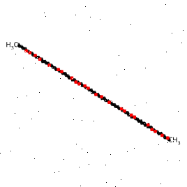 CCCCCCCCCCCCCCCCCCCCCCCCCCCCCCCCCCCCCCCCCCCCCCCCCCCCCCCCCCCCCCCCCCCCCCCCCCCCCCCCCCCCCCCCCCCCCC